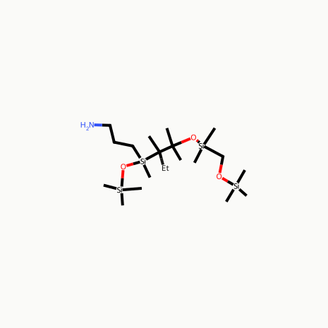 CCC(C)(C(C)(C)O[Si](C)(C)CO[Si](C)(C)C)[Si](C)(CCCN)O[Si](C)(C)C